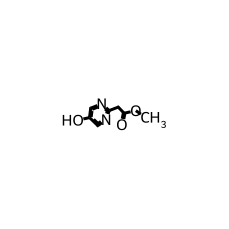 COC(=O)Cc1ncc(O)cn1